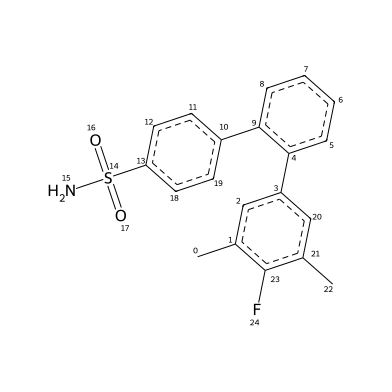 Cc1cc(-c2ccccc2-c2ccc(S(N)(=O)=O)cc2)cc(C)c1F